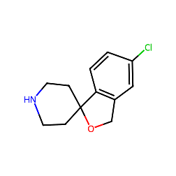 Clc1ccc2c(c1)COC21CCNCC1